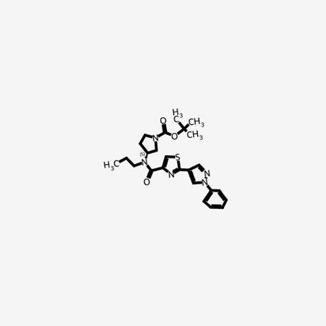 CCCN(C(=O)c1csc(-c2cnn(-c3ccccc3)c2)n1)[C@H]1CCN(C(=O)OC(C)(C)C)C1